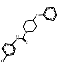 O=C(Nc1ccc(Cl)cc1)N1CCC(Oc2ccccc2)CC1